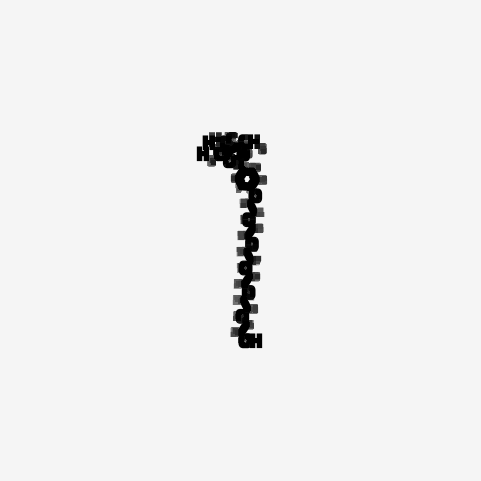 CC1(C)OB(c2ccc(OCCOCCOCCOCCOCCOCCO)cc2)OC1(C)C